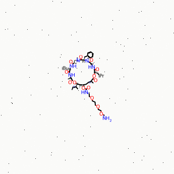 C/C=C(\C)[C@H]1OC(=O)[C@@H](C)NC(=O)[C@H](C(C)CC)NC(=O)CN(C)C(=O)[C@@H](Cc2ccccc2)N(C)C(=O)[C@H](C)NC(=O)[C@@H](CC(C)C)OC(=O)/C(C)=C/C[C@H](OC(=O)NCCOCCCOCCOCN)[C@@H]1C